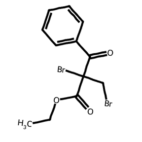 CCOC(=O)C(Br)(CBr)C(=O)c1ccccc1